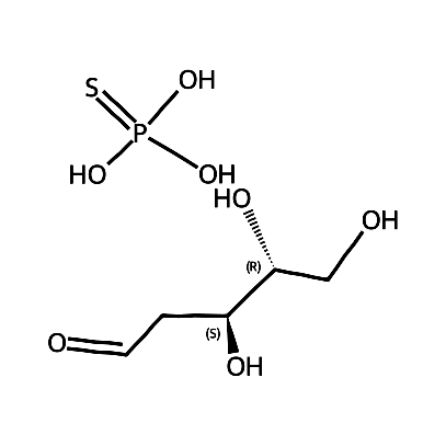 O=CC[C@H](O)[C@H](O)CO.OP(O)(O)=S